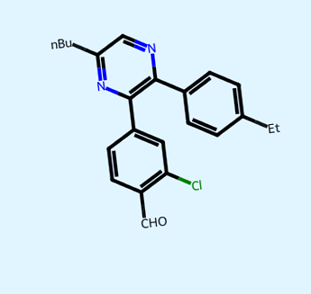 CCCCc1cnc(-c2ccc(CC)cc2)c(-c2ccc(C=O)c(Cl)c2)n1